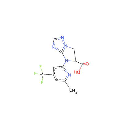 Cc1cc(C(F)(F)F)cc(N2c3ncnn3CC2C(=O)O)n1